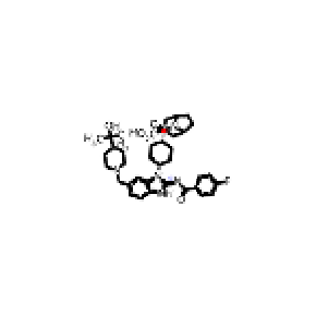 CC(C)(O)C1CCN(Cc2ccc3[nH]/c(=N\C(=O)c4ccc(F)cc4)n([C@H]4CC[C@@H](C(=O)N5C6CCC5CN(C(=O)O)C6)CC4)c3c2)CC1